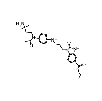 CCOC(=O)c1ccc2c(c1)NC(=O)C2=CCCNc1ccc(N(CCC(C)(C)N)C(C)=O)cc1